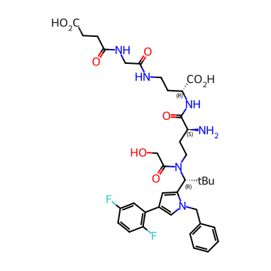 CC(C)(C)[C@H](c1cc(-c2cc(F)ccc2F)cn1Cc1ccccc1)N(CC[C@H](N)C(=O)N[C@H](CCNC(=O)CNC(=O)CCC(=O)O)C(=O)O)C(=O)CO